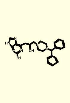 OC(Cc1nc(S)nc2[nH]cnc12)CN1CCN(C(c2ccccc2)c2ccccc2)CC1